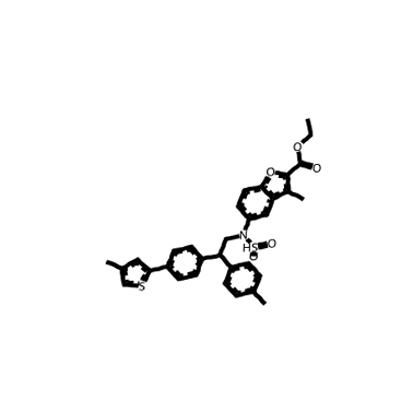 CCOC(=O)c1oc2ccc(N(CC(c3ccc(C)cc3)c3ccc(-c4cc(C)cs4)cc3)[SH](=O)=O)cc2c1C